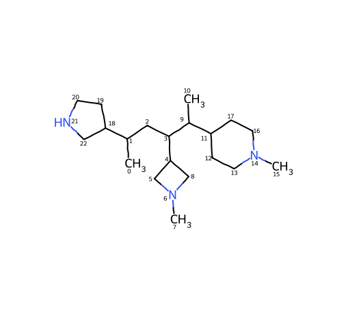 CC(CC(C1CN(C)C1)C(C)C1CCN(C)CC1)C1CCNC1